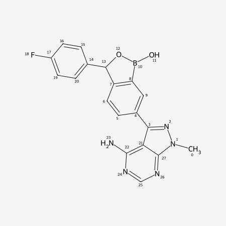 Cn1nc(-c2ccc3c(c2)B(O)OC3c2ccc(F)cc2)c2c(N)ncnc21